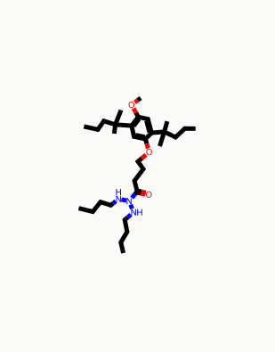 CCCCNN(NCCCC)C(=O)CCCOc1cc(C(C)(C)CCC)c(OC)cc1C(C)(C)CCC